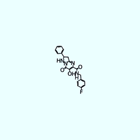 O=C(NCc1ccc(F)cc1)c1nc2n(c(=O)c1O)NC(c1ccccc1)C2